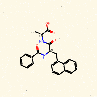 C[C@H](NC(=O)[C@@H](Cc1cccc2ccccc12)NC(=O)c1ccccc1)C(=O)O